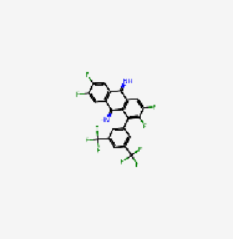 N=C1c2cc(F)c(F)cc2C(=N)c2c1cc(F)c(F)c2-c1cc(C(F)(F)F)cc(C(F)(F)F)c1